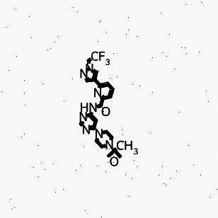 CC1(N2CCN(c3cc(NC(=O)c4cccc(-c5cnn(CC(F)(F)F)c5)n4)ncn3)CC2)COC1